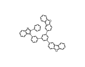 c1ccc(-c2nc3ccccc3n2-c2cccc(-c3cc(-c4ccc5oc6ccccc6c5c4)cc(-c4ccc5oc6ccccc6c5c4)c3)c2)cc1